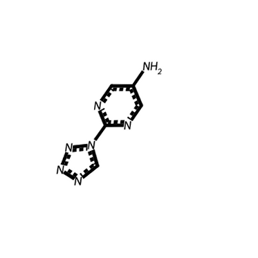 Nc1cnc(-n2cnnn2)nc1